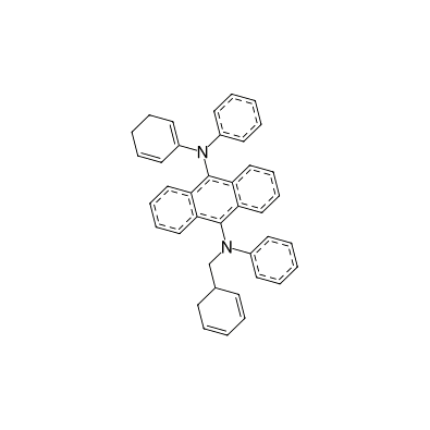 C1=CCC(CN(c2ccccc2)c2c3ccccc3c(N(C3=CCCC=C3)c3ccccc3)c3ccccc23)C=C1